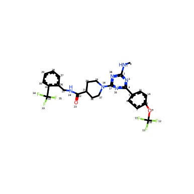 CNc1nc(-c2ccc(OC(F)(F)F)cc2)nc(N2CCC(C(=O)NCc3ccccc3C(F)(F)F)CC2)n1